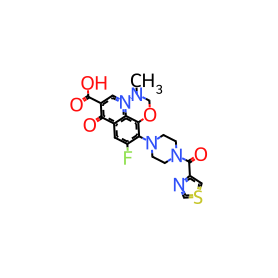 CN1COc2c(N3CCN(C(=O)c4cscn4)CC3)c(F)cc3c(=O)c(C(=O)O)cn1c23